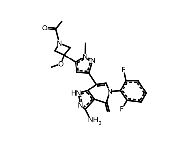 C=C1c2c(N)n[nH]c2C(c2cc(C3(OC)CN(C(C)=O)C3)n(C)n2)=CN1c1c(F)cccc1F